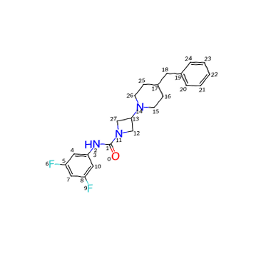 O=C(Nc1cc(F)cc(F)c1)N1CC(N2CCC(Cc3ccccc3)CC2)C1